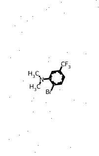 CN(C)c1cc(C(F)(F)F)ccc1Br